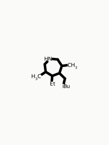 CCC(C)CC1C(C)CNCC(C)C1CC